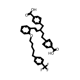 O=C(O)c1ccc(CCC(/C=C/c2ccccc2OCCCCCc2ccc(C(F)(F)F)cc2)Cc2ccc(C(=O)O)cc2)cc1